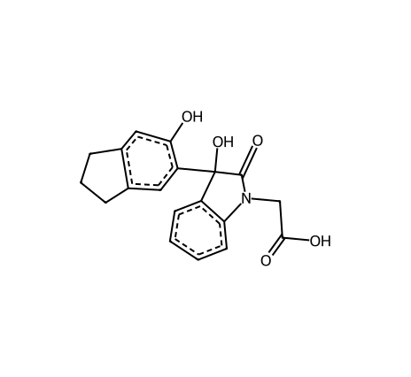 O=C(O)CN1C(=O)C(O)(c2cc3c(cc2O)CCC3)c2ccccc21